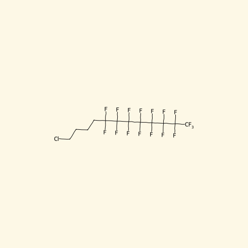 FC(F)(F)C(F)(F)C(F)(F)C(F)(F)C(F)(F)C(F)(F)C(F)(F)C(F)(F)CCCCCl